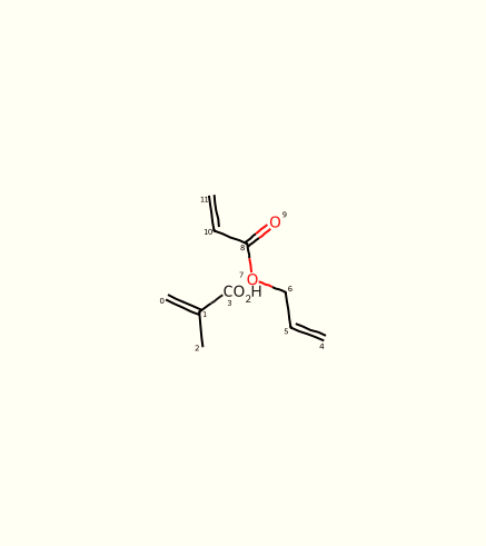 C=C(C)C(=O)O.C=CCOC(=O)C=C